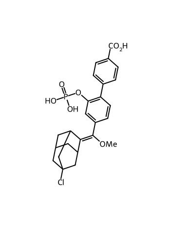 COC(=C1C2CC3CC1CC(Cl)(C3)C2)c1ccc(-c2ccc(C(=O)O)cc2)c(OP(=O)(O)O)c1